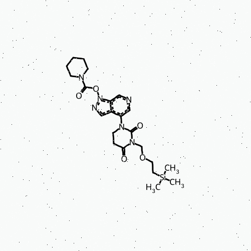 C[Si](C)(C)CCOCN1C(=O)CCN(c2cncc3c2cnn3OC(=O)N2CCCCC2)C1=O